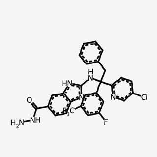 NNC(=O)c1ccc2nc(NC(Cc3ccccc3)(c3cc(F)cc(C(F)(F)F)c3)c3ccc(Cl)cn3)[nH]c2c1